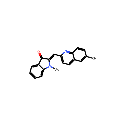 CC(=O)N1/C(=C\c2ccc3cc(C#N)ccc3n2)C(=O)c2ccccc21